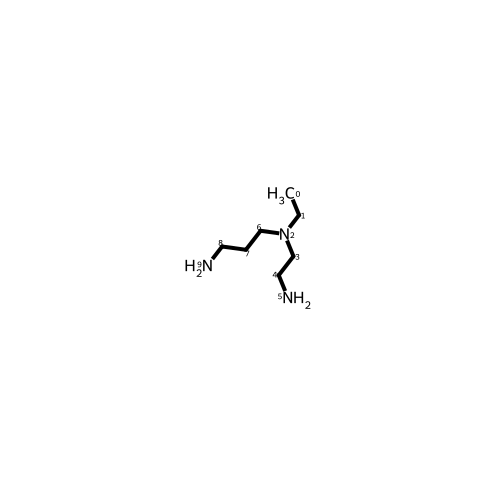 CCN(CCN)CCCN